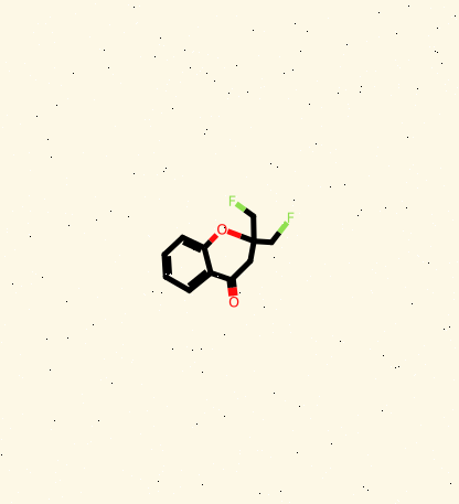 O=C1CC(CF)(CF)Oc2ccccc21